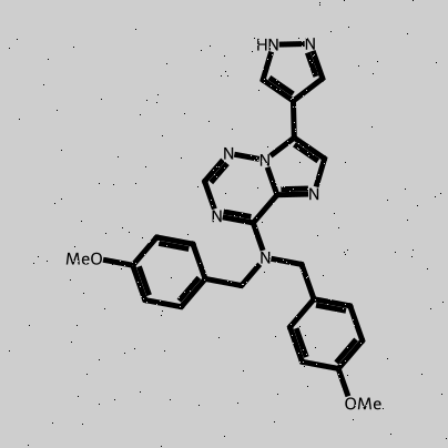 COc1ccc(CN(Cc2ccc(OC)cc2)c2ncnn3c(-c4cn[nH]c4)cnc23)cc1